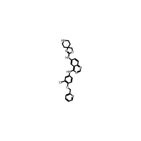 Clc1cc(Nc2ncnc3ccc(NC4=NC5(CCNCC5)CO4)cc23)ccc1OCc1ccccn1